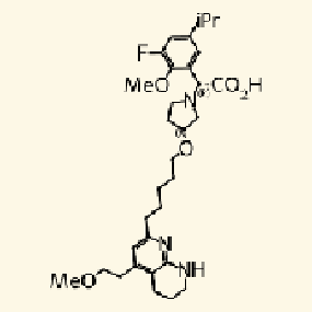 COCCc1cc(CCCCCO[C@@H]2CCN([C@@H](C(=O)O)c3cc(C(C)C)cc(F)c3OC)C2)nc2c1CCCN2